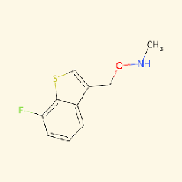 CNOCc1csc2c(F)cccc12